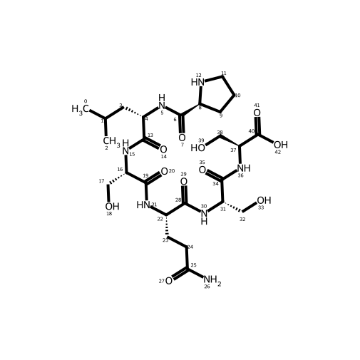 CC(C)C[C@H](NC(=O)[C@@H]1CCCN1)C(=O)N[C@@H](CO)C(=O)N[C@@H](CCC(N)=O)C(=O)N[C@@H](CO)C(=O)N[C@@H](CO)C(=O)O